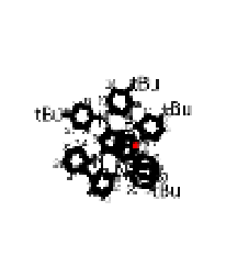 CC(C)(C)c1ccc(N2c3ccc(C(C)(C)C)cc3B3c4cc(C(C)(C)C)ccc4N(c4ccc(C(C)(C)C)cc4)c4cc(-n5c6ccccc6c6cccc(-n7c8ccccc8c8ccccc87)c65)cc2c43)cc1